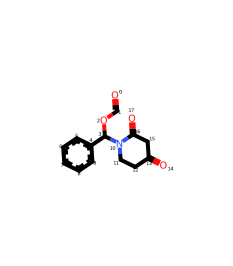 O=COC(c1ccccc1)N1CCC(=O)CC1=O